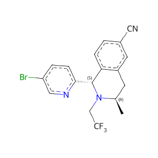 C[C@@H]1Cc2cc(C#N)ccc2[C@@H](c2ccc(Br)cn2)N1CC(F)(F)F